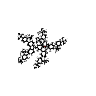 N#Cc1ccc(-n2c3ccc(-c4ccc(C(F)(F)F)cc4C(F)(F)F)cc3c3cc(-c4ccc(C(F)(F)F)cc4C(F)(F)F)ccc32)cc1-c1cc(-c2ccc(C(F)(F)F)cc2C(F)(F)F)ccc1-n1c2ccc(-c3ccc(C(F)(F)F)cc3C(F)(F)F)cc2c2cc(-c3ccc(C(F)(F)F)cc3C(F)(F)F)ccc21